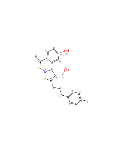 Cc1ccc(CCC[C@@H]2CN(CC(C)c3ccc(O)cc3)C[C@@H]2CO)cc1